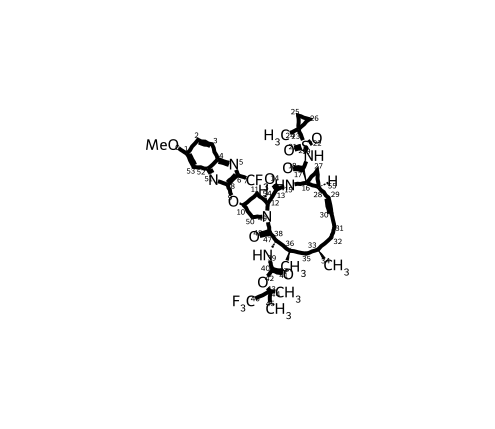 COc1ccc2nc(C(F)(F)F)c(O[C@@H]3C[C@H]4C(=O)N[C@]5(C(=O)NS(=O)(=O)C6(C)CC6)C[C@H]5/C=C/CC[C@@H](C)C[C@@H](C)[C@H](NC(=O)OC(C)(C)C(F)(F)F)C(=O)N4C3)nc2c1